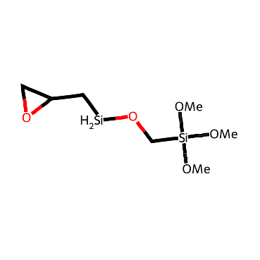 CO[Si](CO[SiH2]CC1CO1)(OC)OC